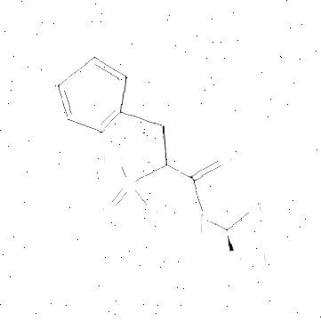 C[C@H](NC(=O)C(Cc1ccccc1)P(=O)(O)O)C(=O)O